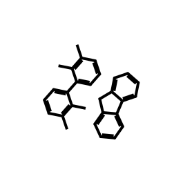 Cc1cccc(-c2cccc(C)c2C)c1C.c1ccc2c(c1)Cc1ccccc1-2